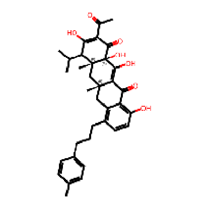 CC(=O)C1=C(O)C(C(C)C)[C@@]2(C)C[C@@]3(C)Cc4c(CCCc5ccc(C)cc5)ccc(O)c4C(=O)C3=C(O)[C@@]2(O)C1=O